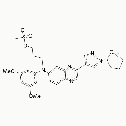 COc1cc(OC)cc(N(CCCOS(C)(=O)=O)c2ccc3ncc(-c4cnn(C5CCCCO5)c4)nc3c2)c1